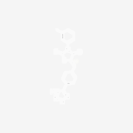 Cc1cccc(N2C(=O)/C(=C/c3ccc(-c4nnn[nH]4)cc3)SC2=S)c1